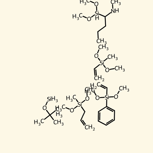 C=CC[Si](C)(OC)OC.C=C[Si](C)(OC)OC.C=C[Si](OC)(OC)c1ccccc1.CC(C)(C)O[SiH3].CCCC(NC)[SiH](OC)OC